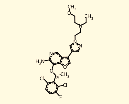 CCN(CCOC)CCn1cc(-c2coc3c(O[C@H](C)c4c(Cl)ccc(F)c4Cl)c(N)ncc23)cn1